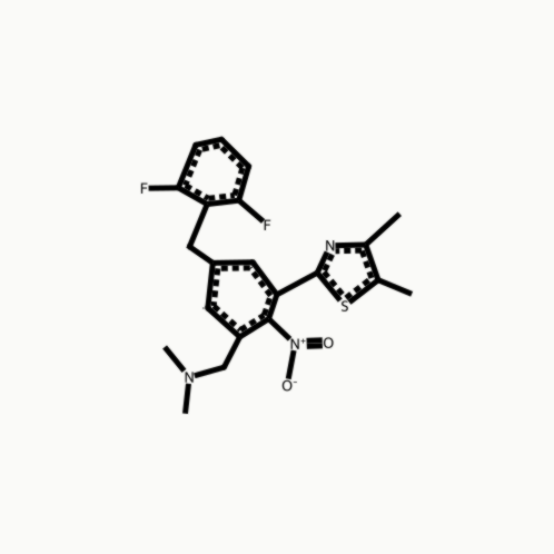 Cc1nc(-c2cc(Cc3c(F)cccc3F)[c]c(CN(C)C)c2[N+](=O)[O-])sc1C